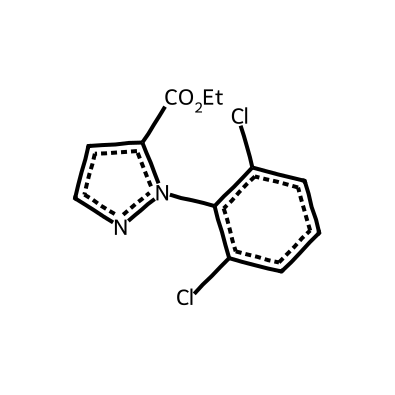 CCOC(=O)c1ccnn1-c1c(Cl)cccc1Cl